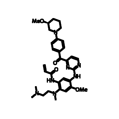 C=CC(=O)Nc1cc(Nc2nccc(C(=O)c3ccc(N4CCC[C@H](OC)C4)cc3)n2)c(OC)cc1N(C)CCN(C)C